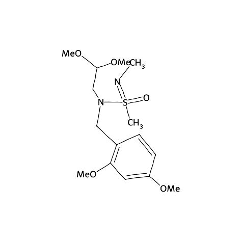 CN=S(C)(=O)N(Cc1ccc(OC)cc1OC)CC(OC)OC